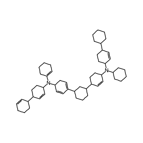 C1=CC(C2C=CC(N(C3=CCCCC3)C3C=CC(C4CCCC(C5C=CC(N(C6C=CC(C7CCCCC7)CC6)C6CCCCC6)CC5)C4)=CC3)CC2)CCC1